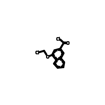 O=C(Cl)c1cc(OCCl)c2ccccc2c1